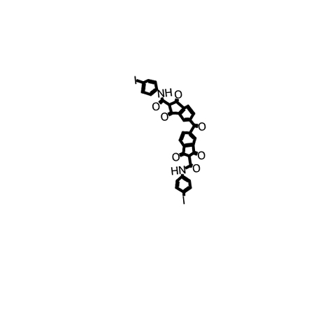 O=C(c1ccc2c(c1)C(=O)C(C(=O)Nc1ccc(I)cc1)C2=O)c1ccc2c(c1)C(=O)C(C(=O)Nc1ccc(I)cc1)C2=O